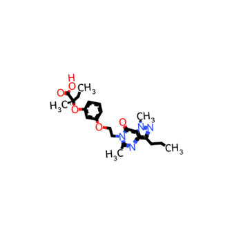 CCCc1nn(C)c2c(=O)n(CCOc3cccc(O[C@@](C)(CC)C(=O)O)c3)c(C)nc12